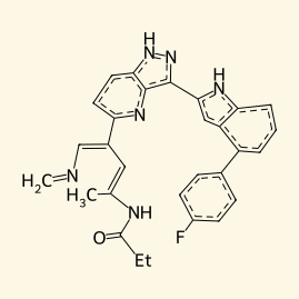 C=N/C=C(\C=C(/C)NC(=O)CC)c1ccc2[nH]nc(-c3cc4c(-c5ccc(F)cc5)cccc4[nH]3)c2n1